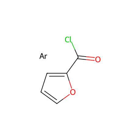 O=C(Cl)c1ccco1.[Ar]